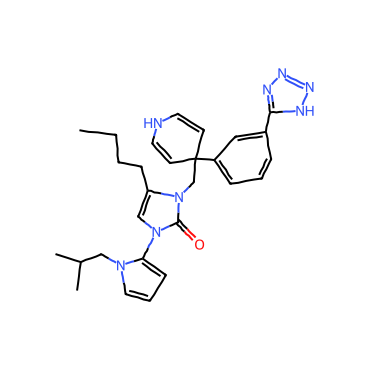 CCCCc1cn(-c2cccn2CC(C)C)c(=O)n1CC1(c2cccc(-c3nnn[nH]3)c2)C=CNC=C1